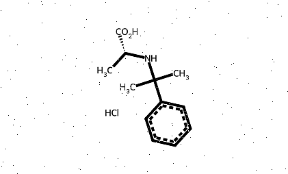 C[C@@H](NC(C)(C)c1ccccc1)C(=O)O.Cl